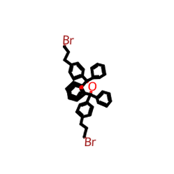 BrCCCc1ccc(C(OC(c2ccccc2)(c2ccccc2)c2ccc(CCCBr)cc2)(c2ccccc2)c2ccccc2)cc1